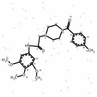 COc1cc(NC(=O)CN2CCN(C(=O)c3ccc(C)cc3)CC2)cc(OC)c1OC